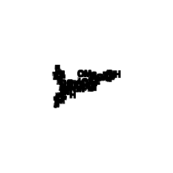 COc1cc2c(Oc3ccc(NC(=O)c4nn(-c5ccc(F)cc5)cc4OCc4ccc(F)cc4)cc3F)ccnc2cc1OCC1CCNCC1